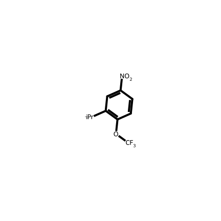 C[C](C)c1cc([N+](=O)[O-])ccc1OC(F)(F)F